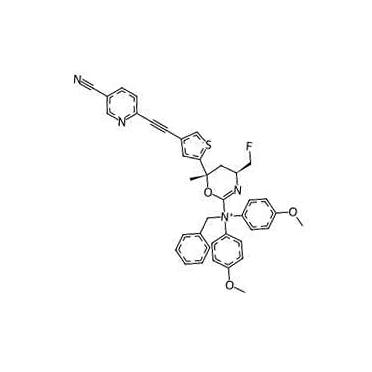 COc1ccc([N+](Cc2ccccc2)(C2=N[C@H](CF)C[C@@](C)(c3cc(C#Cc4ccc(C#N)cn4)cs3)O2)c2ccc(OC)cc2)cc1